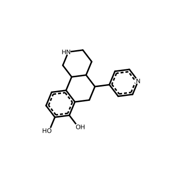 Oc1ccc2c(c1O)CC(c1ccncc1)C1CCNCC21